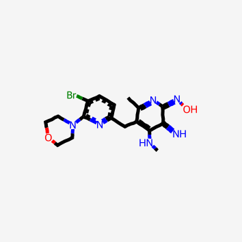 CNC1=C(Cc2ccc(Br)c(N3CCOCC3)n2)C(C)=N/C(=N/O)C1=N